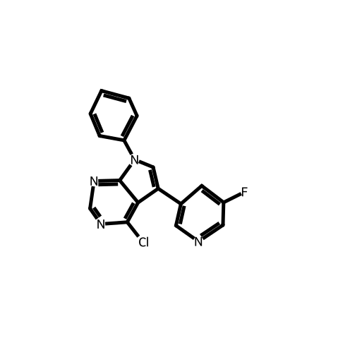 Fc1cncc(-c2cn(-c3ccccc3)c3ncnc(Cl)c23)c1